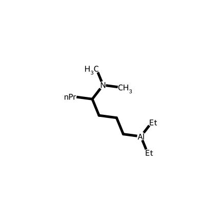 CCCC(CC[CH2][Al]([CH2]C)[CH2]C)N(C)C